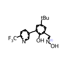 CC(C)(C)c1cc(/C=N/O)c(O)c(-c2ccc(C(F)(F)F)nc2)c1